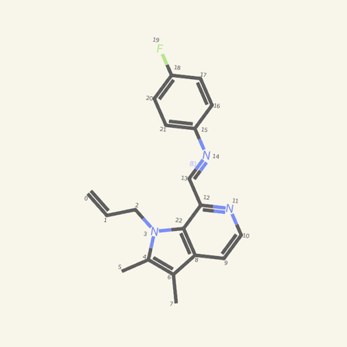 C=CCn1c(C)c(C)c2ccnc(/C=N/c3ccc(F)cc3)c21